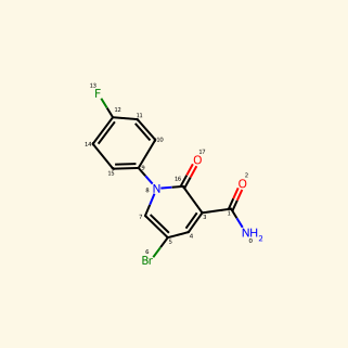 NC(=O)c1cc(Br)cn(-c2ccc(F)cc2)c1=O